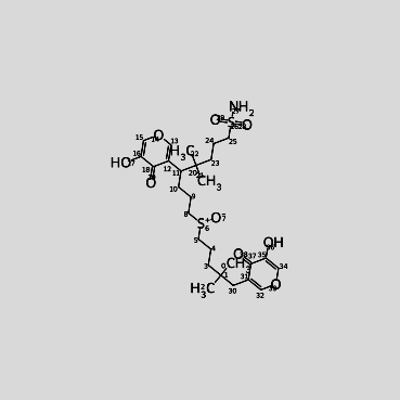 CC(C)(CCC[S+]([O-])CCCC(c1cocc(O)c1=O)C(C)(C)CCCS(N)(=O)=O)Cc1cocc(O)c1=O